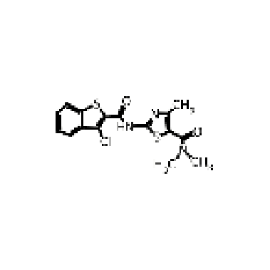 Cc1nc(NC(=O)c2sc3ccccc3c2Cl)sc1C(=O)N(C)C